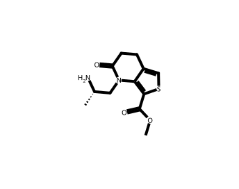 COC(=O)c1scc2c1N(C[C@H](C)N)C(=O)CC2